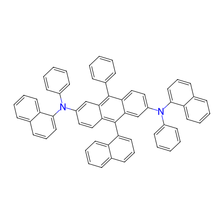 c1ccc(-c2c3cc(N(c4ccccc4)c4cccc5ccccc45)ccc3c(-c3cccc4ccccc34)c3cc(N(c4ccccc4)c4cccc5ccccc45)ccc23)cc1